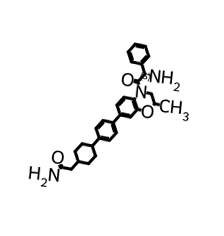 CC1CN(C(=O)[C@@H](N)c2ccccc2)c2ccc(-c3ccc(C4CCC(CC(N)=O)CC4)cc3)cc2O1